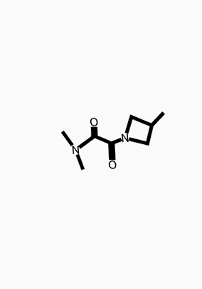 CC1CN(C(=O)C(=O)N(C)C)C1